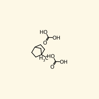 CC12CCC(CC1)C2.O=C(O)O.O=C(O)O